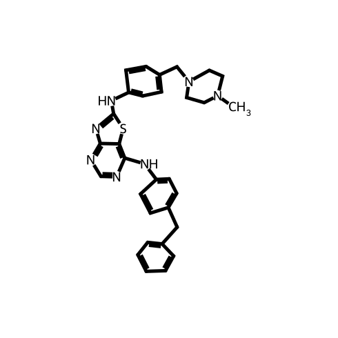 CN1CCN(Cc2ccc(Nc3nc4ncnc(Nc5ccc(Cc6ccccc6)cc5)c4s3)cc2)CC1